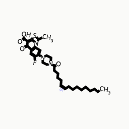 CCCCCCCCC/C=C\CCCCC(=O)N1CCN(c2cc3c(cc2F)c(=O)c(C(=O)O)c2n3C(C)S2)CC1